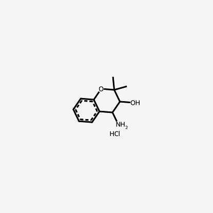 CC1(C)Oc2ccccc2C(N)C1O.Cl